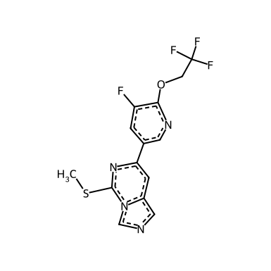 CSc1nc(-c2cnc(OCC(F)(F)F)c(F)c2)cc2cncn12